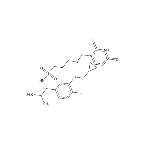 CC(C)[C@H](NS(=O)(=O)CCCOCn1ccc(=O)[nH]c1=O)c1ccc(F)c(OCC2CC2)c1